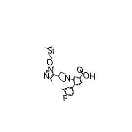 Cc1cc(-c2ccc(C(=O)O)cc2N2CCC(c3c(C)ncn3COCC[Si](C)(C)C)CC2)ccc1F